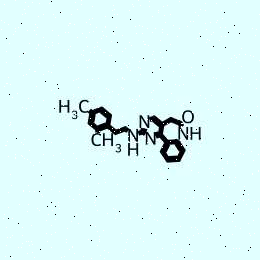 Cc1ccc(CCNc2ncc3c(n2)-c2ccccc2NC(=O)C3)c(C)c1